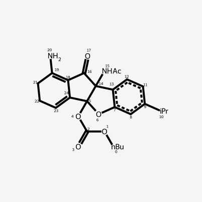 CCCCOC(=O)OC12Oc3cc(C(C)C)ccc3C1(NC(C)=O)C(=O)C1=C(N)CCC=C12